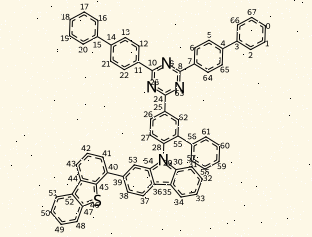 c1ccc(-c2ccc(-c3nc(-c4ccc(-c5ccccc5)cc4)nc(-c4ccc(-n5c6ccccc6c6ccc(-c7cccc8c7sc7ccccc78)cc65)c(-c5ccccc5)c4)n3)cc2)cc1